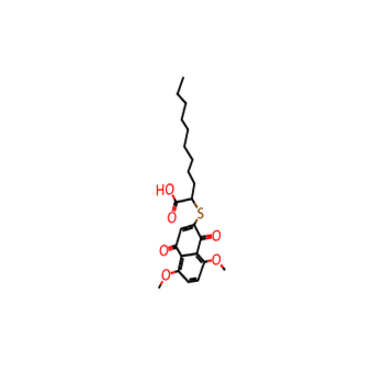 CCCCCCCCCC(SC1=CC(=O)c2c(OC)ccc(OC)c2C1=O)C(=O)O